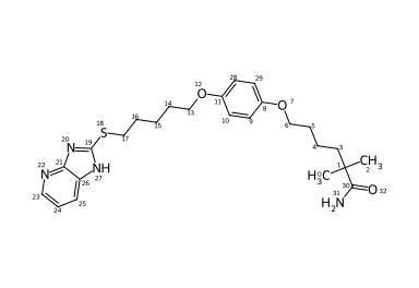 CC(C)(CCCCOc1ccc(OCCCCCSc2nc3ncccc3[nH]2)cc1)C(N)=O